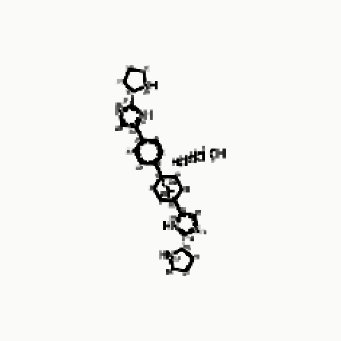 Cl.Cl.Cl.Cl.c1cc(C23CCC(c4cnc([C@@H]5CCCN5)[nH]4)(CC2)CC3)ccc1-c1cnc([C@@H]2CCCN2)[nH]1